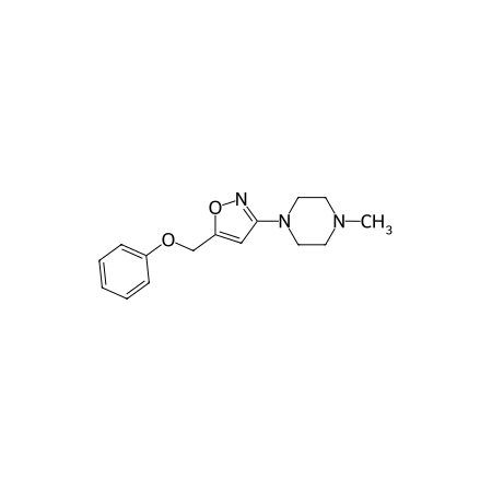 CN1CCN(c2cc(COc3ccccc3)on2)CC1